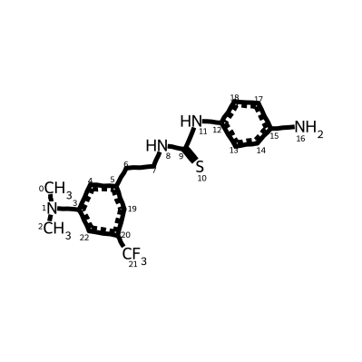 CN(C)c1cc(CCNC(=S)Nc2ccc(N)cc2)cc(C(F)(F)F)c1